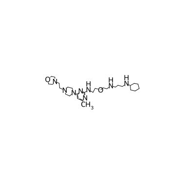 Cc1cc(N2CCN(CCN3CCOCC3)CC2)nc(NCCOCCNCCCNC2CCCCC2)n1